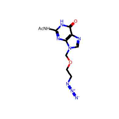 CC(=O)Nc1nc2c(ncn2COCCN=[N+]=[N-])c(=O)[nH]1